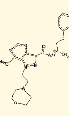 COc1cccc2c(C(=O)N[C@@H](C)CCc3ccccc3)nn(CCN3CCOCC3)c12